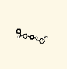 CC(C)N1CCC[C@@H](COc2ccc(N3CCN(C(=O)c4ccccc4)CC3)cc2)C1